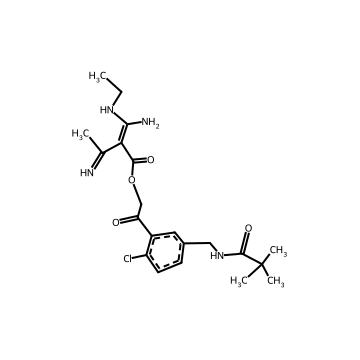 CCN/C(N)=C(\C(C)=N)C(=O)OCC(=O)c1cc(CNC(=O)C(C)(C)C)ccc1Cl